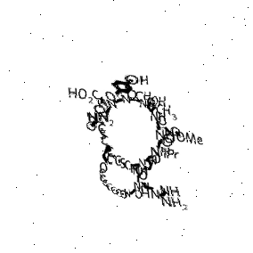 COOC(=O)C[C@@H]1NC(=O)[C@H](CC(C)C)NC(=O)[C@@H]2CCCN2C(=O)[C@@H]2CSCc3cc(cc(c3)OCCCCCCO/N=C/C(=O)N[C@@H](CCCNC(=N)N)C(=O)N2)CSC[C@@H](C(N)=O)NC(=O)[C@H](CCC(=O)O)NC(=O)[C@H](Cc2ccc(O)cc2)NC(=O)[C@H](C)NC(=O)[C@H]([C@@H](C)O)NC1=O